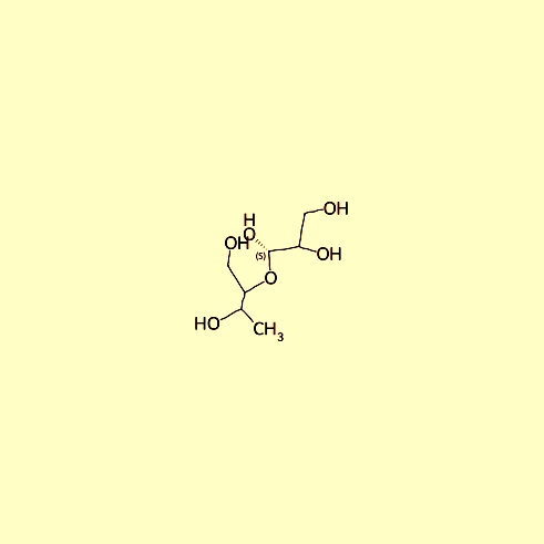 CC(O)C(CO)O[C@H](O)C(O)CO